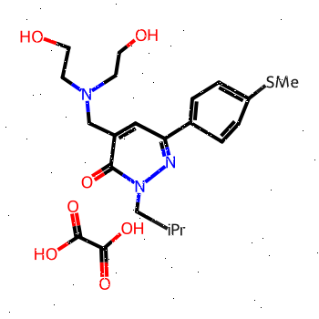 CSc1ccc(-c2cc(CN(CCO)CCO)c(=O)n(CC(C)C)n2)cc1.O=C(O)C(=O)O